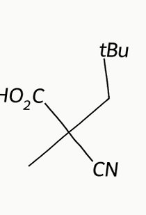 CC(C)(C)CC(C)(C#N)C(=O)O